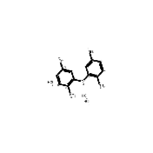 Cl.Cl.Cl.Nc1ccc(N)c(Oc2cc(O)ccc2N)c1